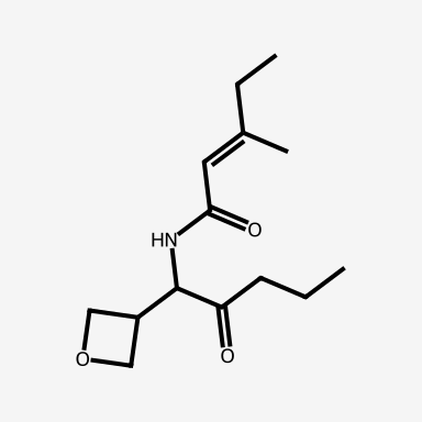 CCCC(=O)C(NC(=O)/C=C(\C)CC)C1COC1